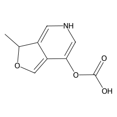 CC1OC=C2C(OC(=O)O)=CNC=C21